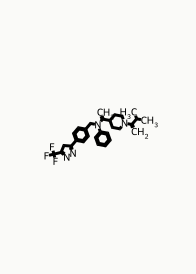 C=C(C(C)C)N1CCC(C(=C)N(Cc2ccc(C3=NN=C(C(F)(F)F)C3)cc2)c2ccccc2)CC1